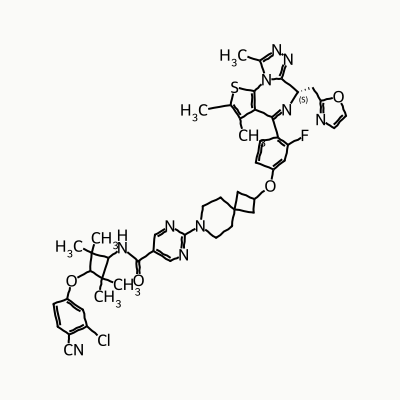 Cc1sc2c(c1C)C(c1ccc(OC3CC4(CCN(c5ncc(C(=O)NC6C(C)(C)C(Oc7ccc(C#N)c(Cl)c7)C6(C)C)cn5)CC4)C3)cc1F)=N[C@@H](Cc1ncco1)c1nnc(C)n1-2